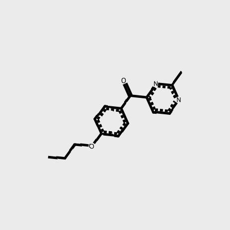 CCCOc1ccc(C(=O)c2ccnc(C)n2)cc1